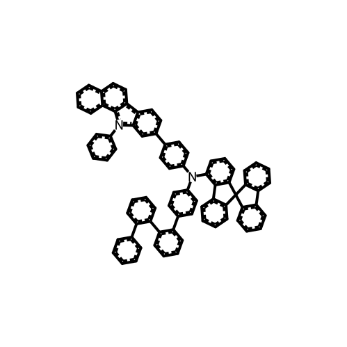 c1ccc(-c2ccccc2-c2ccccc2-c2ccc(N(c3ccc(-c4ccc5c6ccc7ccccc7c6n(-c6ccccc6)c5c4)cc3)c3cccc4c3-c3ccccc3C43c4ccccc4-c4ccccc43)cc2)cc1